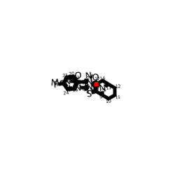 CNC(=O)Nc1nc2c(s1)C1CCCC(C2)N1c1nc(-c2ccc(F)cc2)no1